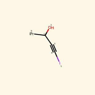 CC(C)C(O)C#CI